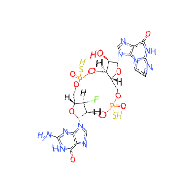 Nc1nc2c(ncn2[C@@H]2O[C@@H]3COP(=O)(S)O[C@H]4[C@@H](O)[C@H](n5cnc6c(=O)[nH]c7nccn7c65)O[C@@H]4COP(=O)(S)O[C@@H]2[C@@H]3F)c(=O)[nH]1